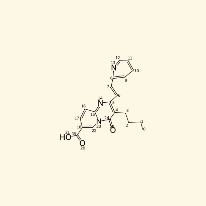 CCCCc1c(C=Cc2ccccn2)nc2ccc(C(=O)O)cn2c1=O